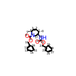 C[C@H]1C=C[C@H](C)N(C(=O)OCc2ccccc2)C[C@@H]1NC(=O)OCc1ccccc1